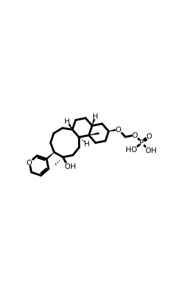 C[C@]12CC[C@H](OCOP(=O)(O)O)C[C@H]1CC[C@H]1CCC[C@H](C3=COCC=C3)[C@](C)(O)CC[C@@H]12